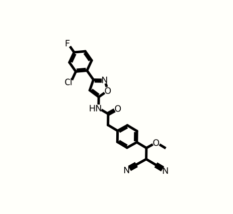 COC(c1ccc(CC(=O)Nc2cc(-c3ccc(F)cc3Cl)no2)cc1)C(C#N)C#N